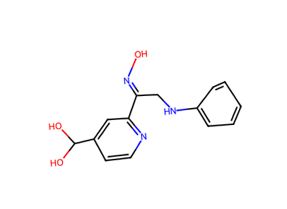 O/N=C(\CNc1ccccc1)c1cc(C(O)O)ccn1